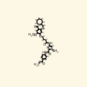 COC(=O)c1ccc(NC(=O)c2nc(NC(=O)CCCOc3cc4c(cc3OC)C(=O)N3CCCCCC3C=N4)cn2C)cc1